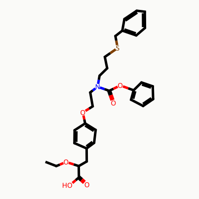 CCOC(Cc1ccc(OCCN(CCCSCc2ccccc2)C(=O)Oc2ccccc2)cc1)C(=O)O